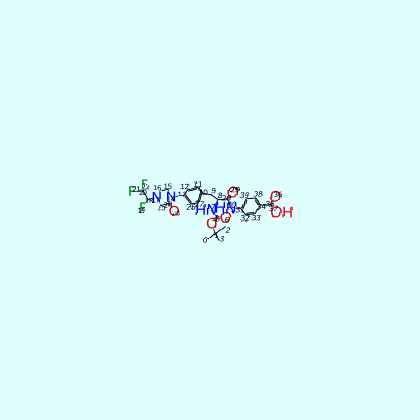 CC(C)(C)OC(=O)NC(Cc1ccc(N2CCN(C(F)C(F)F)CC2=O)cc1)C(=O)Nc1ccc(C(=O)O)cc1